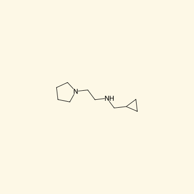 C1CCN(CCNCC2CC2)C1